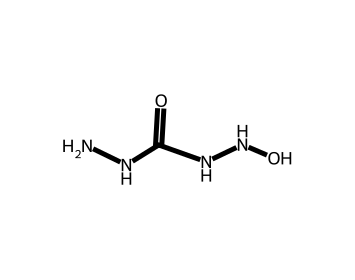 NNC(=O)NNO